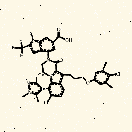 Cc1cc(OCCCc2c3n(c4c(-c5c(C)nn(C)c5C)c(Cl)ccc24)[C@H](C)CN(c2cc(C(=O)O)cc4c2cc(C(F)(F)F)n4C)C3=O)cc(C)c1Cl